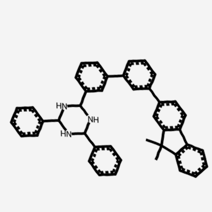 CC1(C)c2ccccc2-c2ccc(-c3cccc(-c4cccc(C5NC(c6ccccc6)NC(c6ccccc6)N5)c4)c3)cc21